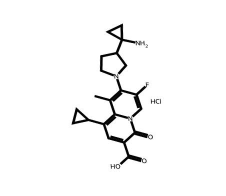 Cc1c(N2CCC(C3(N)CC3)C2)c(F)cn2c(=O)c(C(=O)O)cc(C3CC3)c12.Cl